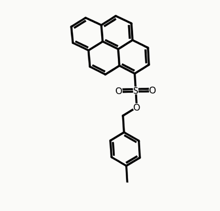 Cc1ccc(COS(=O)(=O)c2ccc3ccc4cccc5ccc2c3c45)cc1